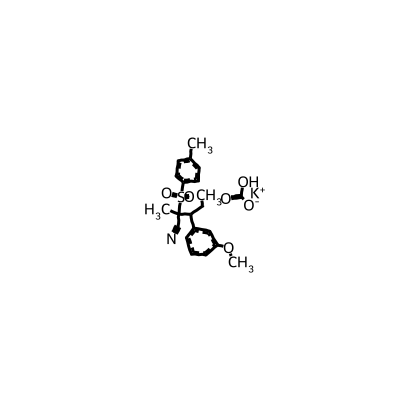 CCC(c1cccc(OC)c1)C(C)(C#N)S(=O)(=O)c1ccc(C)cc1.O=C([O-])O.[K+]